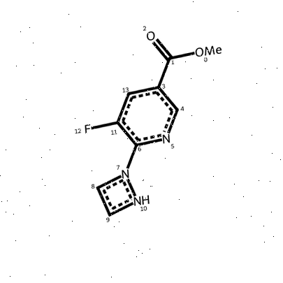 COC(=O)c1cnc(-n2cc[nH]2)c(F)c1